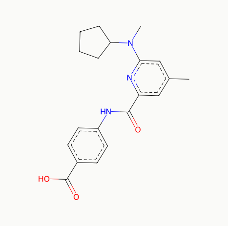 Cc1cc(C(=O)Nc2ccc(C(=O)O)cc2)nc(N(C)C2CCCC2)c1